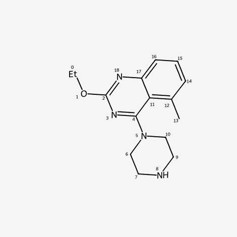 CCOc1nc(N2CCNCC2)c2c(C)cccc2n1